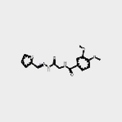 COc1ccc(C(=O)NCC(=O)N/N=C/c2cccs2)cc1OC